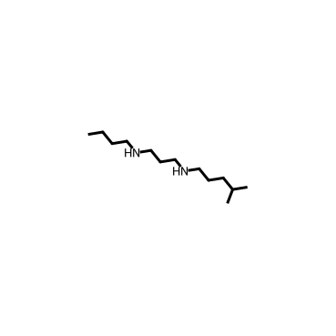 CCCCNCCCNCCCC(C)C